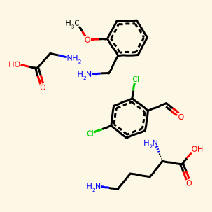 COc1ccccc1CN.NCC(=O)O.NCCC[C@H](N)C(=O)O.O=Cc1ccc(Cl)cc1Cl